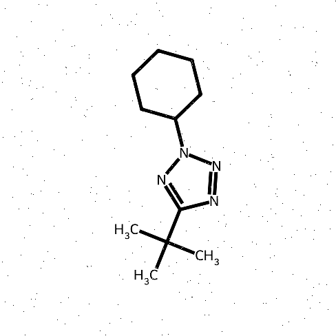 CC(C)(C)c1nnn(C2CCCCC2)n1